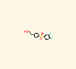 O=S(=O)(c1ccc(CCO)cc1)c1ccc(F)c(F)c1